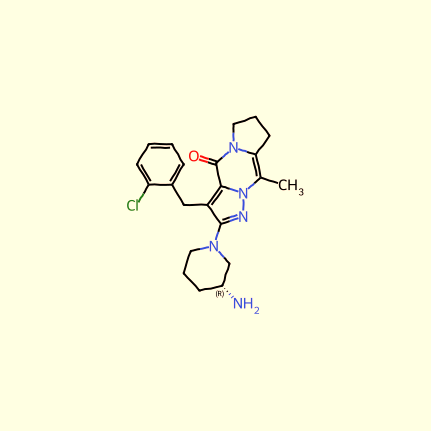 Cc1c2n(c(=O)c3c(Cc4ccccc4Cl)c(N4CCC[C@@H](N)C4)nn13)CCC2